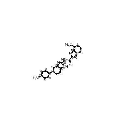 Cc1cccn2cc(C(=O)Nc3nc4cc(-c5ccc(C(F)(F)F)cc5)ccc4[nH]3)nc12